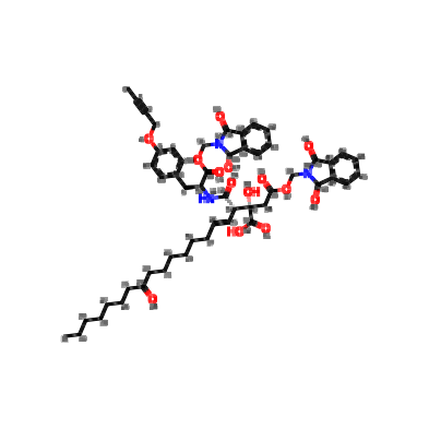 CC#CCOc1ccc(C[C@H](NC(=O)[C@@H](/C=C/CCCCCCC(=O)CCCCCCC)[C@@](O)(CC(=O)OCN2C(=O)c3ccccc3C2=O)C(=O)O)C(=O)OCN2C(=O)c3ccccc3C2=O)cc1